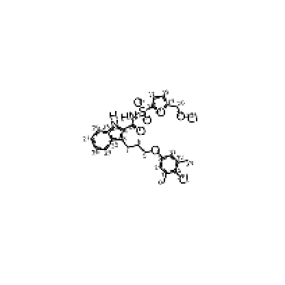 Cc1cc(OCCCc2c(C(=O)NS(=O)(=O)c3ccc(COCl)o3)[nH]c3ccccc23)cc(C)c1Cl